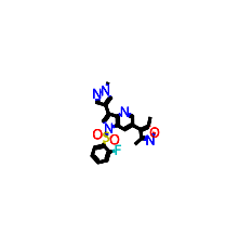 Cc1noc(C)c1-c1cnc2c(-c3cnn(C)c3)cn(S(=O)(=O)c3ccccc3F)c2c1